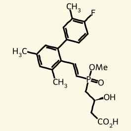 COP(=O)(C=Cc1c(C)cc(C)cc1-c1ccc(F)c(C)c1)C[C@@H](O)CC(=O)O